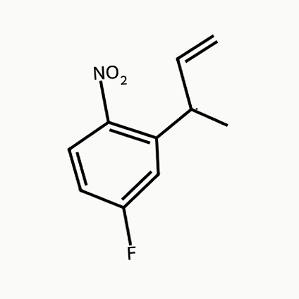 C=C[C](C)c1cc(F)ccc1[N+](=O)[O-]